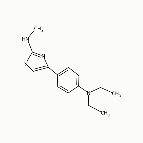 CCN(CC)c1ccc(-c2csc(NC)n2)cc1